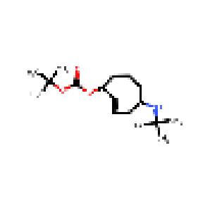 CC(C)(C)NC1C/C=C/C(OC(=O)OC(C)(C)C)CCC1